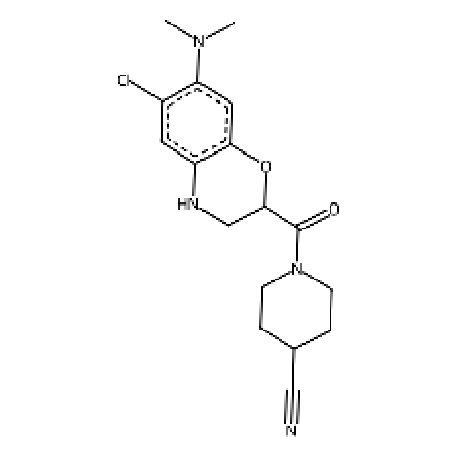 CN(C)c1cc2c(cc1Cl)NCC(C(=O)N1CCC(C#N)CC1)O2